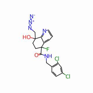 [N-]=[N+]=NCC1(O)CCC(F)(C(=O)NCc2ccc(Cl)cc2Cl)c2cccnc21